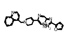 N[N+]12C=C(C3=CCN(Cc4ccnc5ccccc45)CC3)N=CC1=NC(c1ccco1)=N2